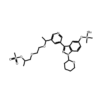 CC(COCCOC(C)c1cncc(-c2nn(C3CCCCO3)c3ccc(O[Si](C)(C)C(C)(C)C)cc23)c1)OS(C)(=O)=O